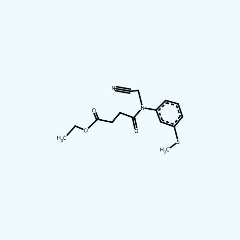 CCOC(=O)CCC(=O)N(CC#N)c1cccc(SC)c1